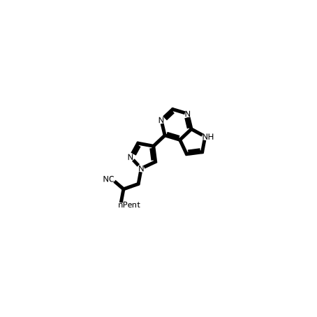 CCCCCC(C#N)Cn1cc(-c2ncnc3[nH]ccc23)cn1